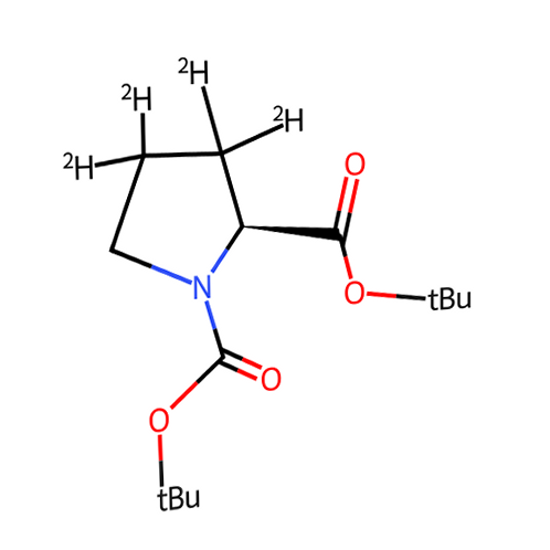 [2H]C1([2H])CN(C(=O)OC(C)(C)C)[C@H](C(=O)OC(C)(C)C)C1([2H])[2H]